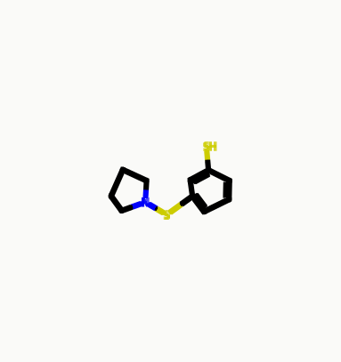 Sc1cccc(SN2CCCC2)c1